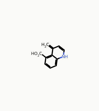 C=C1C=CNc2cccc(C(=O)O)c21